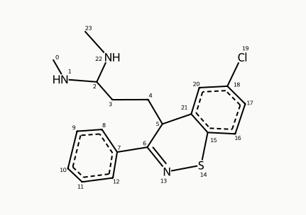 CNC(CCC1C(c2ccccc2)=NSc2ccc(Cl)cc21)NC